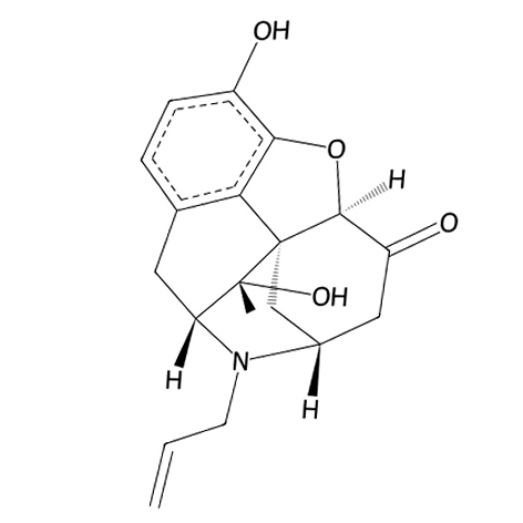 C=CCN1[C@H]2CC(=O)[C@@H]3Oc4c(O)ccc5c4[C@]3(C2)[C@](C)(O)[C@H]1C5